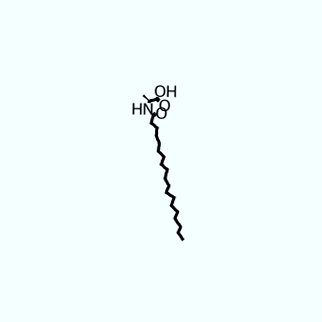 CCCCCCCCCCCCCCCCCCC(=O)N[C@@H](C)C(=O)O